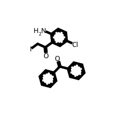 Nc1ccc(Cl)cc1C(=O)CI.O=C(c1ccccc1)c1ccccc1